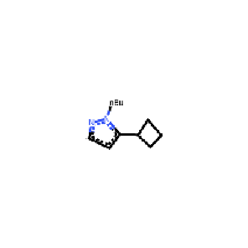 CCCCn1n[c]cc1C1CCC1